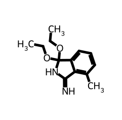 CCOC1(OCC)NC(=N)c2c(C)cccc21